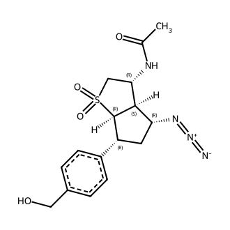 CC(=O)N[C@H]1CS(=O)(=O)[C@H]2[C@@H]1[C@H](N=[N+]=[N-])C[C@@H]2c1ccc(CO)cc1